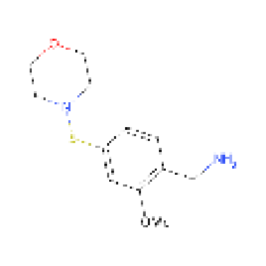 COc1cc(SN2CCOCC2)ccc1CN